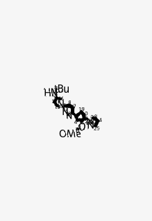 COCOc1cc(-c2ccc(N3CCC(NC(C)(C)C)C3)nn2)ccc1-n1cccn1